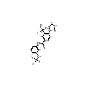 O=C(Nc1cccc(OC(F)(F)F)c1)c1ccc(N2CCCC2)c(C(F)(F)F)c1